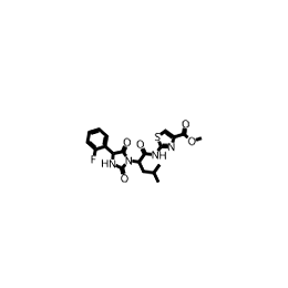 COC(=O)c1csc(NC(=O)C(CC(C)C)N2C(=O)NC(c3ccccc3F)C2=O)n1